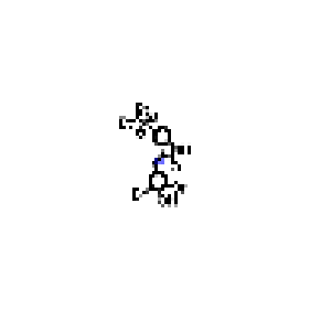 CCN(CC)S(=O)(=O)c1ccc2c(c1)/C(=C/c1cc(Br)c(O)c(Br)c1)C(=O)N2